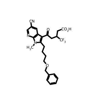 Cn1c(CCCCOCc2ccccc2)c(C(=O)CC(CC(=O)O)C(F)(F)F)c2cc(C#N)cnc21